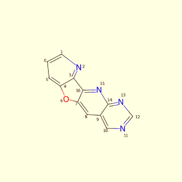 c1cnc2c(c1)oc1cc3cncnc3nc12